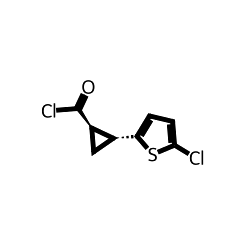 O=C(Cl)[C@@H]1C[C@H]1c1ccc(Cl)s1